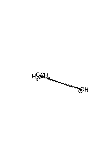 C[Si](C)(Cl)CCCCCCCCCCCCCCCCCCCCCCCCCCCCC(=O)O